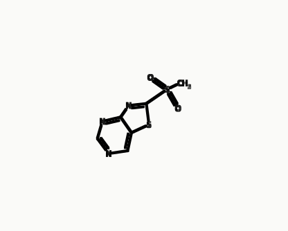 CS(=O)(=O)c1nc2ncncc2s1